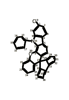 Clc1ccc2c3ccc4c(c3n(-c3ccccc3)c2c1)Oc1ccccc1C41c2ccccc2-c2ccccc21